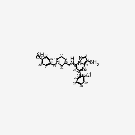 Bc1cnn2c(NCC3CCCN(Cc4ccc(OC)cc4)C3)cc(-c3ccccc3Cl)nc12